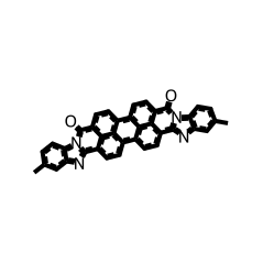 Cc1ccc2c(c1)nc1c3ccc4c5ccc6c7c(ccc(c8ccc(c(=O)n21)c3c84)c57)c(=O)n1c2ccc(C)cc2nc61